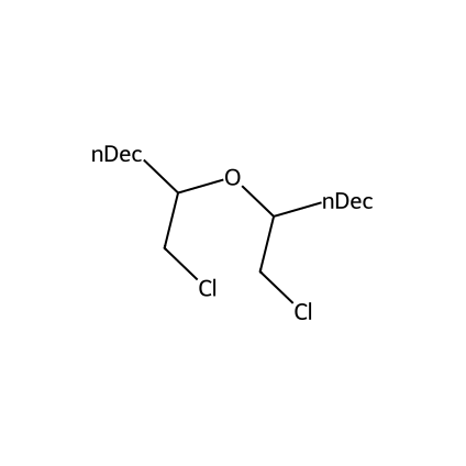 CCCCCCCCCCC(CCl)OC(CCl)CCCCCCCCCC